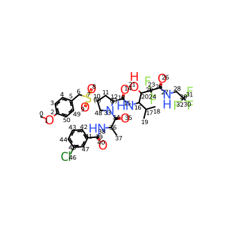 COc1ccc(CS(=O)(=O)[C@@H]2C[C@@H](C(=O)NC(C(C)C)C(O)C(F)(F)C(=O)NCC(F)(F)F)N(C(=O)C(C)NC(=O)c3cccc(Cl)c3)C2)cc1